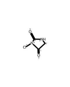 O=C1CNC(=O)N1Cl